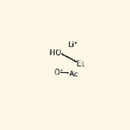 CC(=O)[O-].CCO.[Li+]